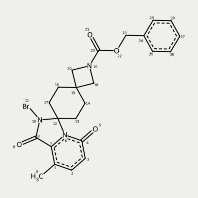 Cc1ccc(=O)n2c1C(=O)N(Br)C21CCC2(CC1)CN(C(=O)OCc1ccccc1)C2